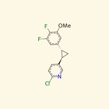 COc1cc([C@@H]2C[C@H]2c2ccc(Cl)nc2)cc(F)c1F